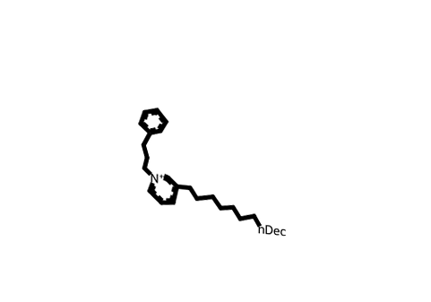 CCCCCCCCCCCCCCCCCc1ccc[n+](CCCc2ccccc2)c1